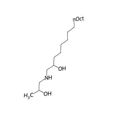 CCCCCCCCCCCCCCC(O)CNCC(C)O